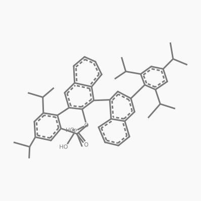 CC(C)c1cc(C(C)C)c(-c2cc(-c3c(OP(=O)(O)O)c(-c4c(C(C)C)cc(C(C)C)cc4C(C)C)cc4ccccc34)c3ccccc3c2)c(C(C)C)c1